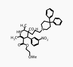 COCCOC(=O)C1=C(C)NC(C)C(CCCN2CCC(c3ccccc3)(c3ccccc3)CC2)(C(=O)O)C1c1cccc([N+](=O)[O-])c1